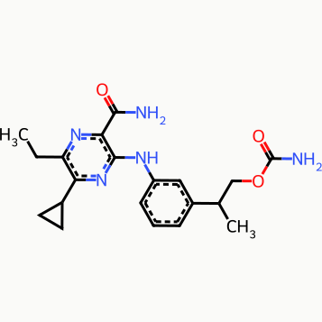 CCc1nc(C(N)=O)c(Nc2cccc(C(C)COC(N)=O)c2)nc1C1CC1